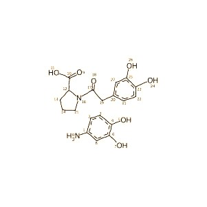 Nc1ccc(O)c(O)c1.O=C(O)C1CCCN1C(=O)Cc1ccc(O)c(O)c1